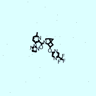 Cc1ccc(-n2nccn2)c(C(=O)N2CC3CC34CC(Oc3cnc(C(F)(F)F)cn3)C24)n1